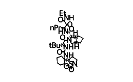 CCC[C@H](NC(=O)[C@@H]1[C@H]2CCC[C@H]2CN1C(=O)[C@@H](NC(=O)NC1([C@H]2CCN(C)S2(=O)=O)CCCCC1)C(C)(C)C)C(=O)C(=O)NCC